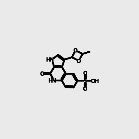 CC1OC(c2c[nH]c3c(=O)[nH]c4ccc(S(=O)(=O)O)cc4c23)O1